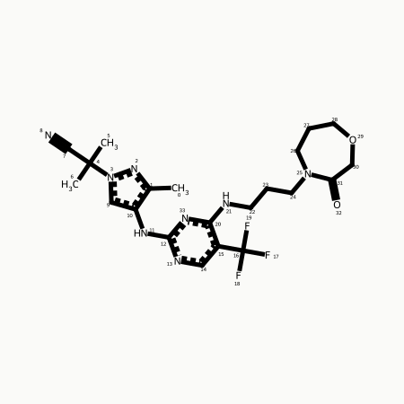 Cc1nn(C(C)(C)C#N)cc1Nc1ncc(C(F)(F)F)c(NCCCN2CCCOCC2=O)n1